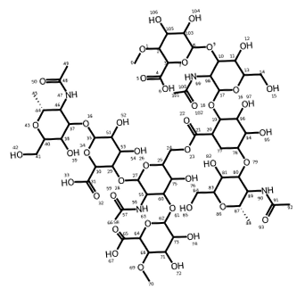 COC1C(C(=O)O)OC(OC2C(O)C(CO)OC(OC3C(C(=O)OCC4OC(OC5C(C(=O)O)OC(OC6C(O)C(CO)O[C@H](C)C6NC(C)=O)C(O)C5O)C(NC(C)=O)C(OC5OC(C(=O)O)C(OC)C(O)C5O)C4O)CC(OC4C(O)C(CO)O[C@@H](C)C4NC(C)=O)C(O)C3O)C2NC(C)=O)C(O)C1O